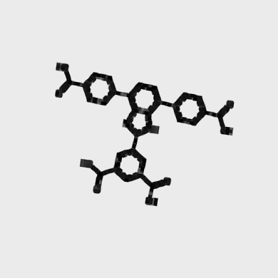 O=C(O)c1ccc(-c2ccc(-c3ccc(C(=O)O)cc3)c3[nH]c(-c4cc(C(=O)O)cc(C(=O)O)c4)nc23)cc1